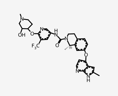 Cc1cc2c(Oc3ccc4c(c3)[C@H](C)N(C(=O)Nc3cnc(OC5CCN(C)CC5O)c(C(F)(F)F)c3)CC4)ccnc2[nH]1